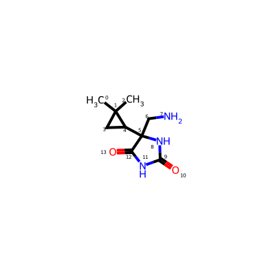 CC1(C)CC1C1(CN)NC(=O)NC1=O